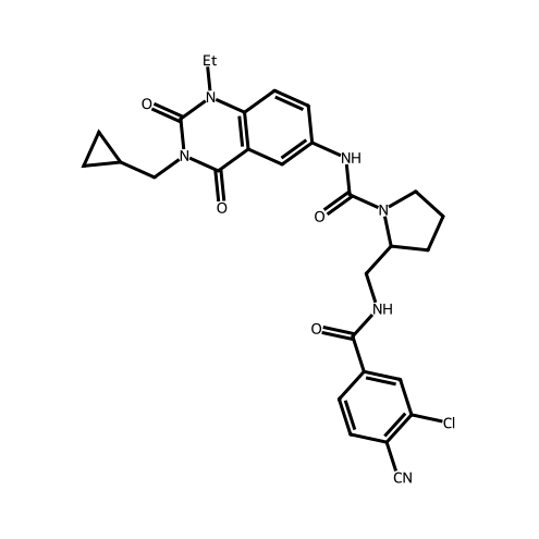 CCn1c(=O)n(CC2CC2)c(=O)c2cc(NC(=O)N3CCCC3CNC(=O)c3ccc(C#N)c(Cl)c3)ccc21